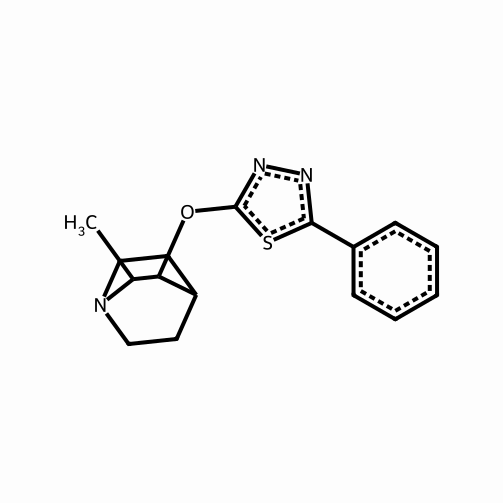 CC1C(Oc2nnc(-c3ccccc3)s2)C2CCN1CC2